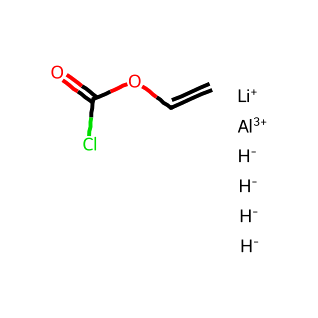 C=COC(=O)Cl.[Al+3].[H-].[H-].[H-].[H-].[Li+]